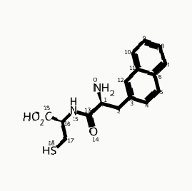 N[C@@H](Cc1ccc2ccccc2c1)C(=O)N[C@@H](CS)C(=O)O